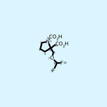 O=C(O)N1CCCC1(COC(F)F)C(=O)O